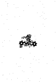 CCCN(CCC)S(=O)(=O)CCC(=O)N(Cc1ccccc1)C[C@@H](O)[C@@H](N)Cc1cccc(Br)c1